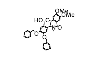 COc1cc2c(cc1OC)C(C(=O)O)C(c1ccc(OCc3ccccc3)c(OCc3ccccc3)c1)N(C)C2=O